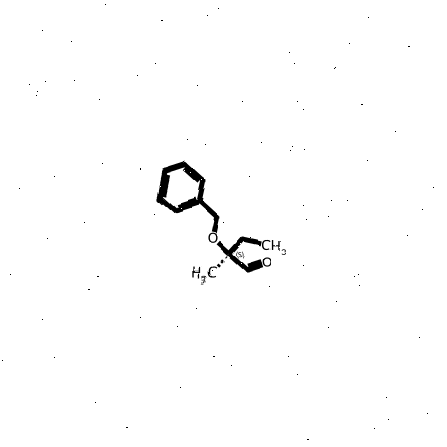 CC[C@@](C)(C=O)OCc1ccccc1